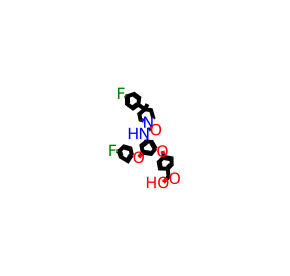 CC1(c2ccc(F)cc2)CCN(C(=O)Nc2cc(Oc3ccc(F)cc3)cc(Oc3ccc(C(=O)O)cc3)c2)CC1